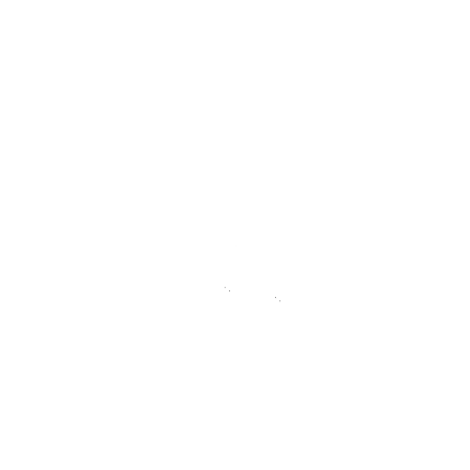 c1ccc(-c2ccc(-c3nc4c(nc3-c3cccc(-c5ccc6c7ccccc7c7ccccc7c6c5)c3)oc3ccc(-c5ccccc5)cc34)cc2)cc1